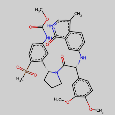 COC(=O)Nc1ccc(S(C)(=O)=O)c([C@H]2CCCN2C(=O)[C@H](Nc2ccc3c(C)c[nH]c(=O)c3c2)c2ccc(OC)c(OC)c2)c1